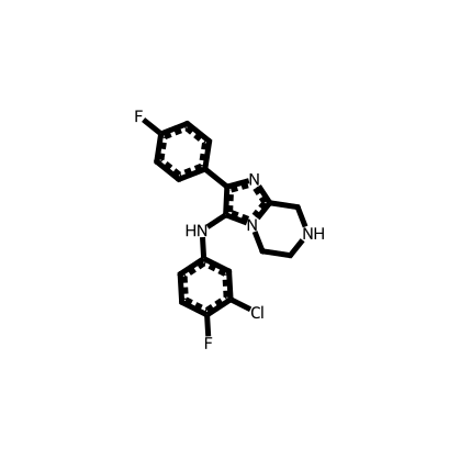 Fc1ccc(-c2nc3n(c2Nc2ccc(F)c(Cl)c2)CCNC3)cc1